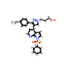 O=[N+]([O-])c1ccc(-c2nn(CCCO)cc2-c2ccnc3c2ccn3S(=O)(=O)c2ccccc2)cc1